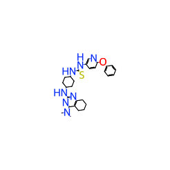 CN(C)c1nc(N[C@H]2CC[C@@H](NC(=S)Nc3ccc(Oc4ccccc4)nc3)CC2)nc2c1CCCC2